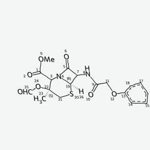 COC(=O)C1N2C(=O)C(NC(=O)COc3ccccc3)[C@H]2SC[C@@]1(C)OC=O